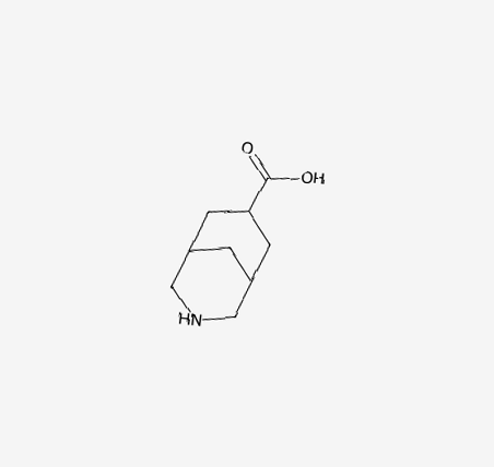 O=C(O)C1CC2CNCC(C2)C1